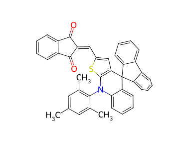 Cc1cc(C)c(N2c3ccccc3C3(c4ccccc4-c4ccccc43)c3cc(C=C4C(=O)c5ccccc5C4=O)sc32)c(C)c1